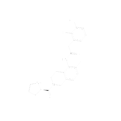 Cc1ccc2c(c1NC(=O)Cc1cccc(C(F)(F)F)c1F)CCN(C(=O)[C@H]1CCCN1)C2